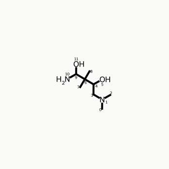 CN(C)CC(O)C(C)(C)C(N)O